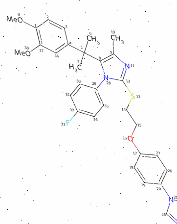 COc1ccc(C(C)(C)c2c(C)nc(SCCOc3ccc(-n4ccnc4)cc3)n2-c2ccc(F)cc2)cc1OC